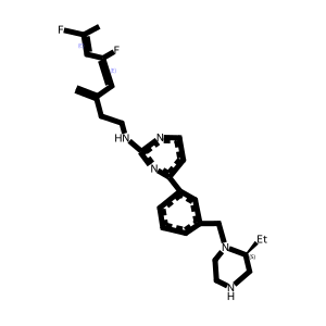 C=C(/C=C(F)\C=C(/C)F)CCNc1nccc(-c2cccc(CN3CCNC[C@@H]3CC)c2)n1